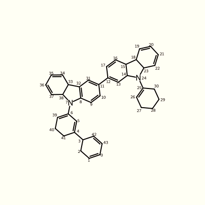 C1=CCC(C2=CC(N3c4ccc(C5=CC6C(C=C5)C5C=CC=CC5N6C5=CCCCC5)cc4C4C=CC=CC43)=CCC2)C=C1